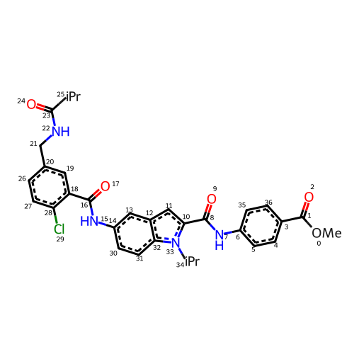 COC(=O)c1ccc(NC(=O)c2cc3cc(NC(=O)c4cc(CNC(=O)C(C)C)ccc4Cl)ccc3n2C(C)C)cc1